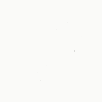 CCOc1ccc(C(=O)COc2c3c(cc(OC)c2CO)OC(C)(C)C=C3)c(OCc2ccccc2)c1